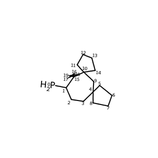 PC1CCC2(CCCC2)CC2(CCCC2)C12CCCC2